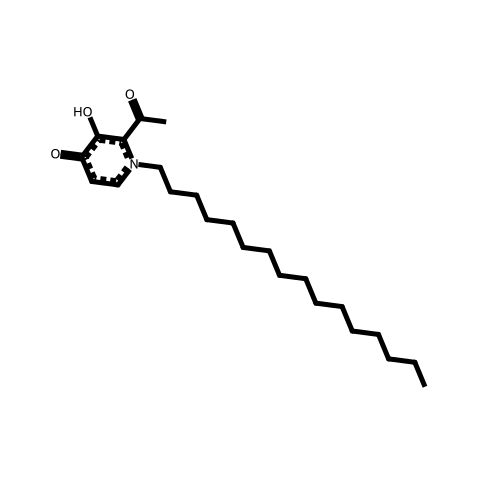 CCCCCCCCCCCCCCCCn1ccc(=O)c(O)c1C(C)=O